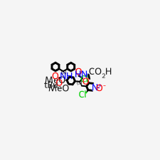 COc1ccc([C@H](Cc2c(Cl)c[n+]([O-])cc2Cl)C2(COc3cccc([C@@H](NC(=O)OC(C)(C)C)c4ccccc4)c3)NC(C(=O)O)=CO2)cc1OC